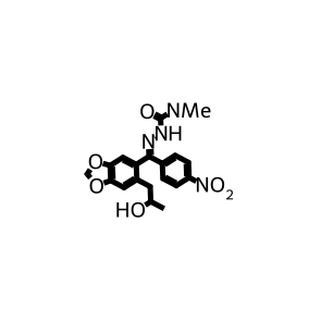 CNC(=O)NN=C(c1ccc([N+](=O)[O-])cc1)c1cc2c(cc1CC(C)O)OCO2